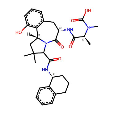 C[C@@H](C(=O)N[C@H]1Cc2cccc(O)c2[C@H]2CC(C)(C)C(C(=O)N[C@@H]3CCCc4ccccc43)N2C1=O)N(C)C(=O)O